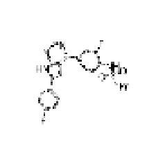 CCCS(=O)(=O)Nc1ccc(-c2ncnc3[nH]c(-c4ccc(F)cc4)cc23)cc1F